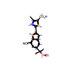 CCOC(C)(C)c1cc(C#N)c2sc(-c3nc(C)c(C(=O)O)s3)cc2c1